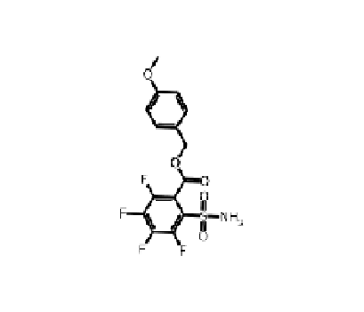 COc1ccc(COC(=O)c2c(F)c(F)c(F)c(F)c2S(N)(=O)=O)cc1